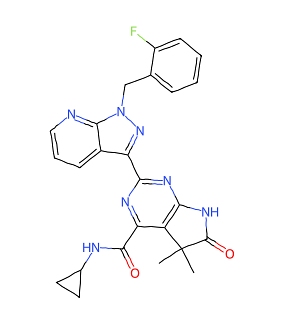 CC1(C)C(=O)Nc2nc(-c3nn(Cc4ccccc4F)c4ncccc34)nc(C(=O)NC3CC3)c21